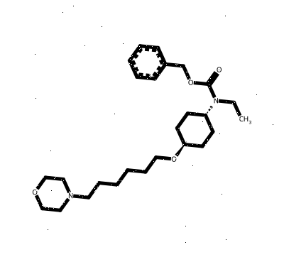 CCN(C(=O)OCc1ccccc1)[C@H]1CC[C@H](OCCCCCCN2CCOCC2)CC1